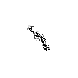 Cc1nnc(C(C)(C)c2cc(NC(=O)C(C)(C)S(=O)(=O)CCCC(F)(F)F)on2)o1